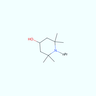 CCCN1C(C)(C)CC(O)CC1(C)C